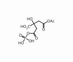 CC(=O)OC(=O)CC(O)(CC(=O)OP(=O)(O)O)C(=O)O